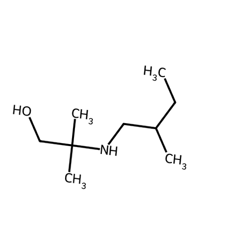 CCC(C)CNC(C)(C)CO